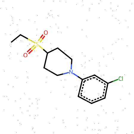 CCS(=O)(=O)C1CCN(c2cccc(Cl)c2)CC1